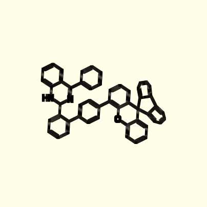 c1ccc(C2=NC(c3ccccc3-c3ccc(-c4cccc5c4Oc4ccccc4C54c5ccccc5-c5ccccc54)cc3)Nc3ccccc32)cc1